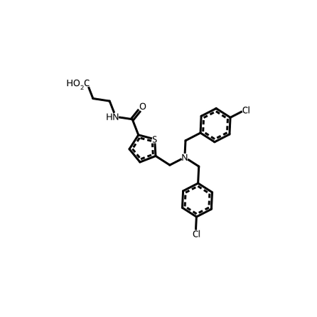 O=C(O)CCNC(=O)c1ccc(CN(Cc2ccc(Cl)cc2)Cc2ccc(Cl)cc2)s1